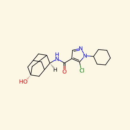 O=C(N[C@H]1C2CC3CC1C[C@](O)(C3)C2)c1cnn(C2CCCCC2)c1Cl